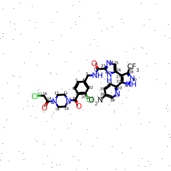 O=C(NCc1ccc(C(=O)N2CCN(C(=O)CCl)CC2)c(Cl)c1)c1ncc(-c2c(C(F)(F)F)n[nH]c2-c2ccc([N+](=O)[O-])cn2)[nH]1